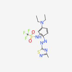 CCN(CC)c1ccc(N=Nc2nc(C)ns2)c(NS(=O)(=O)C(F)(F)F)c1